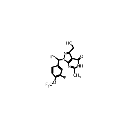 Cc1nc2c(c(CO)nn2C(c2ccc(OC(F)(F)F)c(F)c2)C(C)C)c(=O)[nH]1